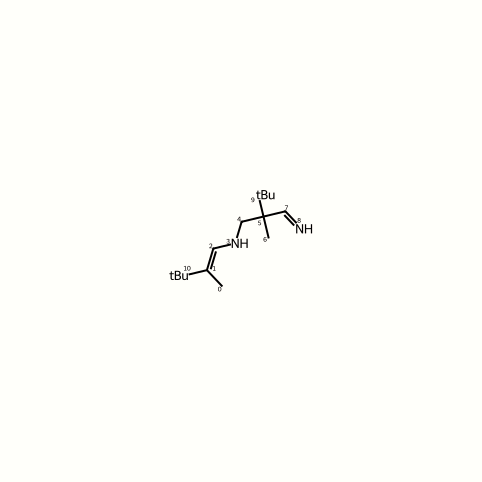 CC(=CNCC(C)(C=N)C(C)(C)C)C(C)(C)C